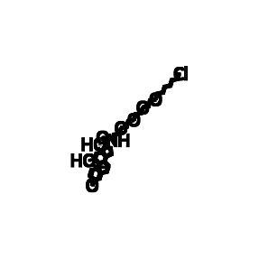 C[C@]12C=CC(=O)C=C1CCC1C3CC[C@](O)(C(=O)NCCOCCOCCOCCOCCCCCCCl)[C@@]3(C)C[C@H](O)[C@@]12F